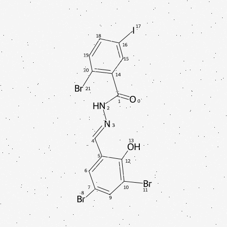 O=C(N/N=C/c1cc(Br)cc(Br)c1O)c1cc(I)ccc1Br